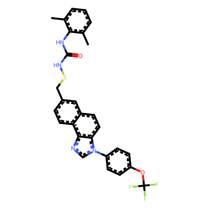 Cc1cccc(C)c1NC(=O)NSCc1ccc2c(ccc3c2ncn3-c2ccc(OC(F)(F)F)cc2)c1